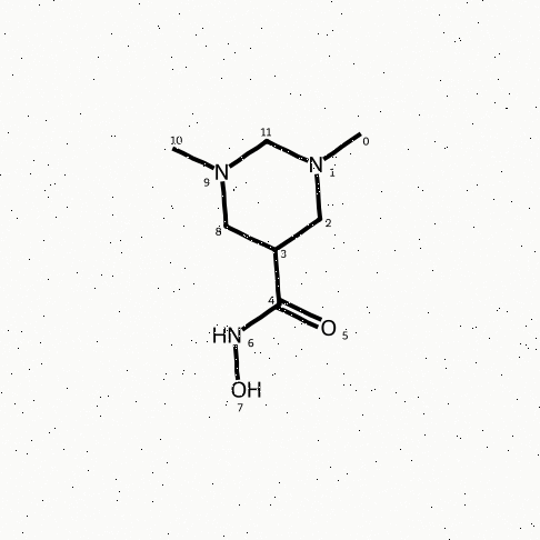 CN1CC(C(=O)NO)CN(C)C1